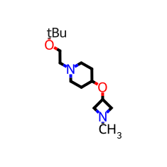 CN1CC(OC2CCN(CCOC(C)(C)C)CC2)C1